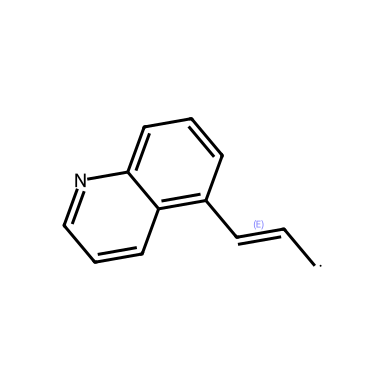 [CH2]/C=C/c1cccc2ncccc12